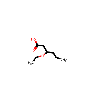 [CH2]CCC(CC(=O)O)OCC